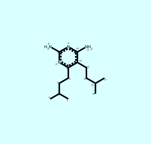 CC(C)CCc1nc(N)nc(N)c1CCC(C)C